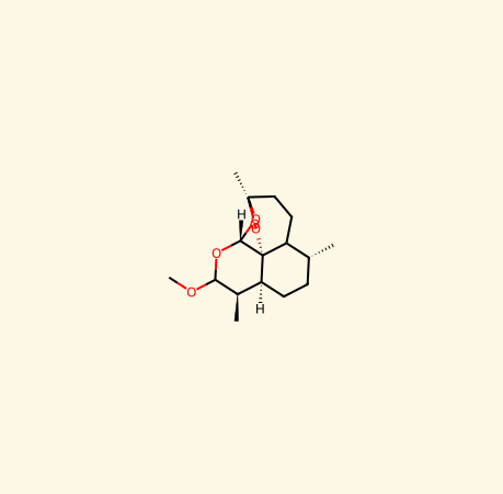 COC1O[C@@H]2O[C@]3(C)CCC4[C@H](C)CC[C@@H]([C@H]1C)[C@]42OO3